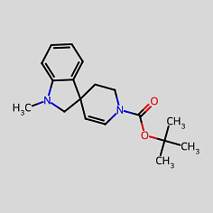 CN1CC2(C=CN(C(=O)OC(C)(C)C)CC2)c2ccccc21